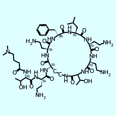 CC(C)C[C@@H]1NC(=O)[C@@H](Cc2ccccc2)NC(=O)[C@H](CCN)NC(=O)[C@@H](NC(=O)[C@H](CCN)NC(=O)[C@@H](NC(=O)CCCN(C)C)C(C)O)CCNC(=O)C(C(C)O)NC(=O)[C@H](CCN)NC(=O)[C@H](CCN)NC1=O